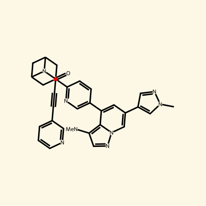 CNc1cnn2cc(-c3cnn(C)c3)cc(-c3ccc(N4CC5CC(C4)N5C(=O)C#Cc4cccnc4)nc3)c12